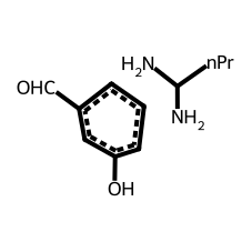 CCCC(N)N.O=Cc1cccc(O)c1